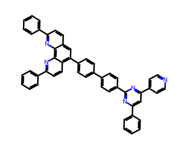 c1ccc(-c2cc(-c3ccncc3)nc(-c3ccc(-c4ccc(-c5cc6ccc(-c7ccccc7)nc6c6nc(-c7ccccc7)ccc56)cc4)cc3)n2)cc1